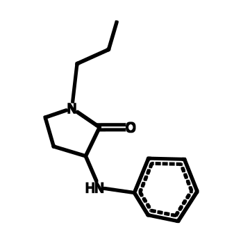 CCCN1CCC(Nc2ccccc2)C1=O